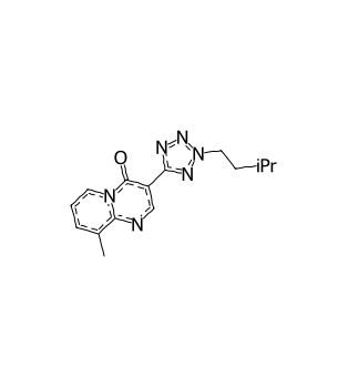 Cc1cccn2c(=O)c(-c3nnn(CCC(C)C)n3)cnc12